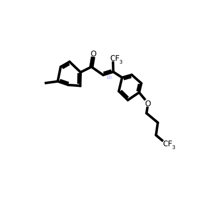 Cc1ccc(C(=O)/C=C(/c2ccc(OCCCC(F)(F)F)cc2)C(F)(F)F)cc1